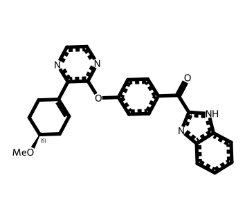 CO[C@@H]1CC=C(c2nccnc2Oc2ccc(C(=O)c3nc4ccccc4[nH]3)cc2)CC1